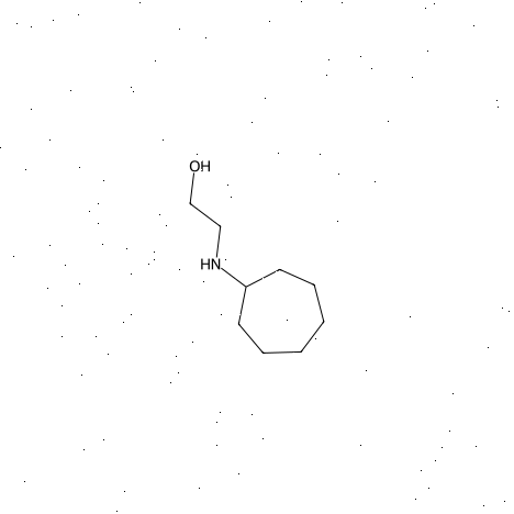 OCCNC1CCCCCC1